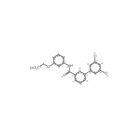 CCOC(=O)COc1cccc(NC(=O)c2cccc(-c3cc(Cl)cc(Cl)c3)n2)c1